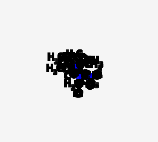 Cc1cc2c3c(c1)N(c1ccc(-c4ccccc4)cc1C)c1cc(N(c4ccccc4)c4ccccc4)ccc1B3c1cc3c(cc1N2c1ccc2c(c1)C(C)(C)CCC2(C)C)C(C)(C)CCC3(C)C